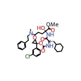 COC(=O)C(O)(CCC(=O)N(C)CCc1ccccc1)NC(=O)[C@H](CC1CCCCC1)NC(=O)OC1(c2cccc(Cl)c2)CC1